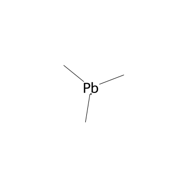 [CH3][Pb]([CH3])[CH3]